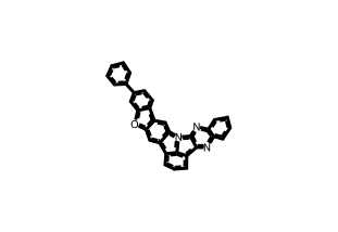 c1ccc(-c2ccc3c(c2)oc2cc4c5cccc6c7nc8ccccc8nc7n(c4cc23)c56)cc1